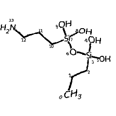 CCC[Si](O)(O)O[Si](O)(O)CCCN